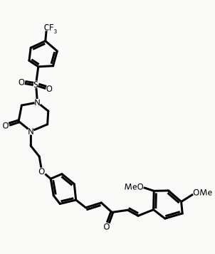 COc1ccc(C=CC(=O)C=Cc2ccc(OCCN3CCN(S(=O)(=O)c4ccc(C(F)(F)F)cc4)CC3=O)cc2)c(OC)c1